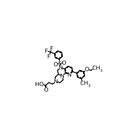 CCOc1cc(C)cc(-c2ccc3c(n2)N2CCN(CCC(=O)O)CC2CN3S(=O)(=O)c2cccc(C(F)(F)F)c2)c1